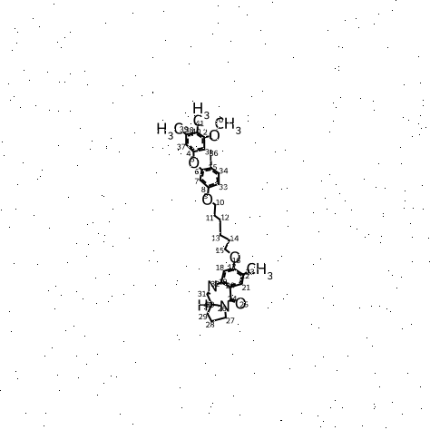 COc1cc(Oc2cc(OCCCCCCOc3cc4c(cc3C)C(=O)N3CCC[C@H]3C=N4)ccc2I)cc(C)c1C